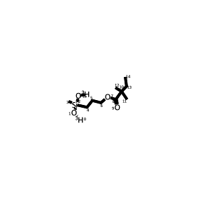 [3H]O[Si](C)(CCCOC(=O)C(C)(C)CC)O[3H]